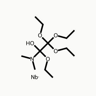 CCOC(OCC)(OCC)C(O)(OCC)N(C)C.[Nb]